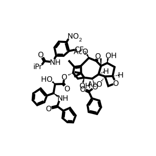 CC(=O)O[C@H]1C(=O)[C@@]2(C)[C@H]([C@H](OC(=O)c3ccccc3)[C@]3(O)C[C@H](OC(=O)[C@H](O)[C@@H](NC(=O)c4ccccc4)c4ccccc4)C(C)=C1C3(C)C)[C@]1(OC(C)=O)CO[C@@H]1C[C@@H]2O.CC(C)C(=O)Nc1ccc([N+](=O)[O-])c(C(F)(F)F)c1